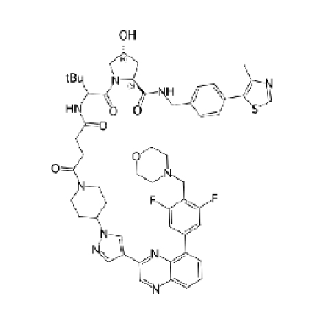 Cc1ncsc1-c1ccc(CNC(=O)[C@@H]2C[C@@H](O)CN2C(=O)C(NC(=O)CCC(=O)N2CCC(n3cc(-c4cnc5cccc(-c6cc(F)c(CN7CCOCC7)c(F)c6)c5n4)cn3)CC2)C(C)(C)C)cc1